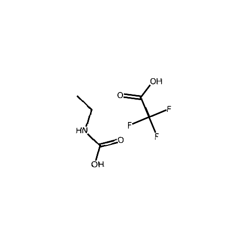 CCNC(=O)O.O=C(O)C(F)(F)F